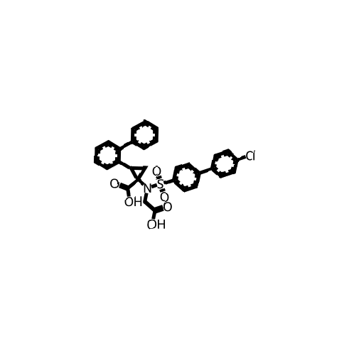 O=C(O)CN(C1(C(=O)O)CC1c1ccccc1-c1ccccc1)S(=O)(=O)c1ccc(-c2ccc(Cl)cc2)cc1